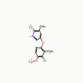 COc1cc(Oc2ccc(OC(F)(F)F)c(F)c2OC)cnc1C(F)(F)F